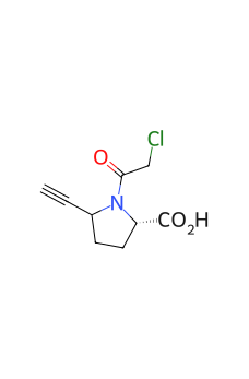 C#CC1CC[C@@H](C(=O)O)N1C(=O)CCl